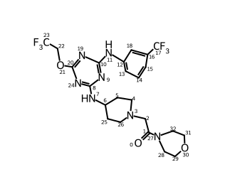 O=C(CN1CCC(Nc2nc(Nc3cccc(C(F)(F)F)c3)nc(OCC(F)(F)F)n2)CC1)N1CCOCC1